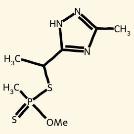 COP(C)(=S)SC(C)c1nc(C)n[nH]1